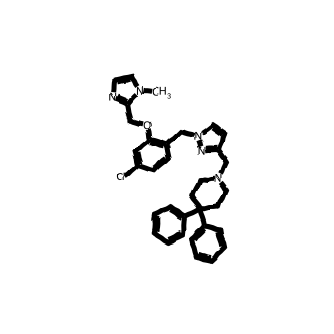 Cn1ccnc1COc1cc(Cl)ccc1Cn1ccc(CN2CCC(c3ccccc3)(c3ccccc3)CC2)n1